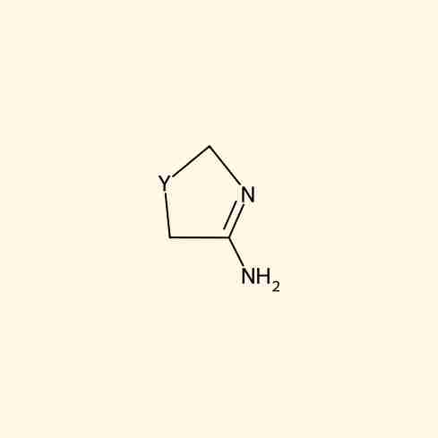 NC1=N[CH2][Y][CH2]1